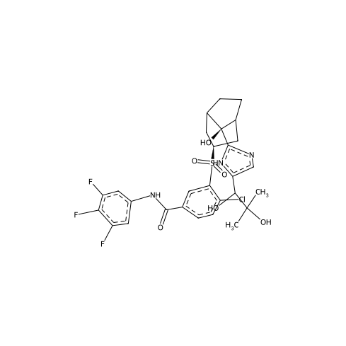 CC(C)(O)C(O)c1cnc([C@]2(O)C3CCC2C[C@@H](S(=O)(=O)c2cc(C(=O)Nc4cc(F)c(F)c(F)c4)ccc2Cl)C3)[nH]1